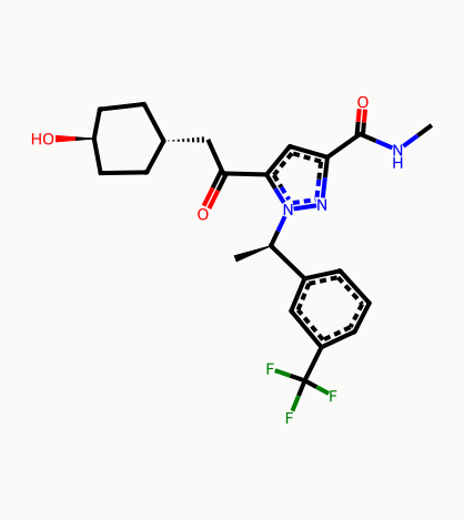 CNC(=O)c1cc(C(=O)C[C@H]2CC[C@H](O)CC2)n([C@H](C)c2cccc(C(F)(F)F)c2)n1